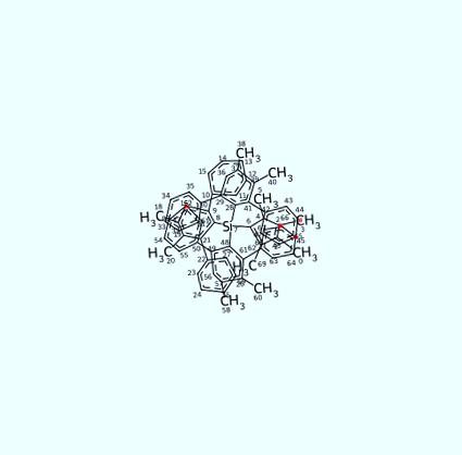 CC1=C(C)C(C)C([Si](c2c(-c3ccccc3)cc(C)c(C)c2-c2ccccc2)(c2c(-c3ccccc3)cc(C)c(C)c2-c2ccccc2)c2c(-c3ccccc3)cc(C)c(C)c2-c2ccccc2)=C1C